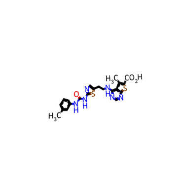 Cc1cccc(NC(=O)Nc2ncc(CCNc3ncnc4sc(C(=O)O)c(C)c34)s2)c1